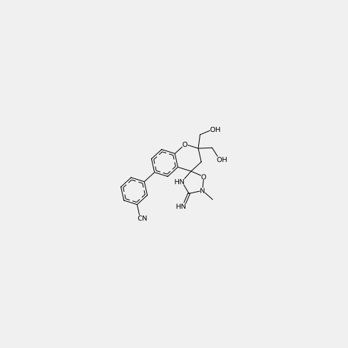 CN1OC2(CC(CO)(CO)Oc3ccc(-c4cccc(C#N)c4)cc32)NC1=N